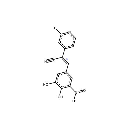 N#C/C(=C\c1cc(O)c(O)c([N+](=O)[O-])c1)c1ccnc(F)c1